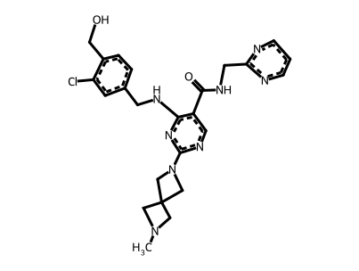 CN1CC2(C1)CN(c1ncc(C(=O)NCc3ncccn3)c(NCc3ccc(CO)c(Cl)c3)n1)C2